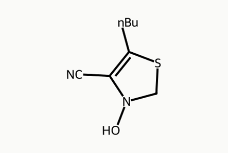 CCCCC1=C(C#N)N(O)CS1